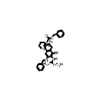 CC(Nc1c(OCc2ccccc2)cc2c(c1Br)C[C@H]1C3CCCC[C@@]23CCN1C(=O)OCc1ccccc1)C(=O)O